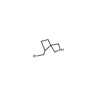 CC(C)CC1CCC12CNC2